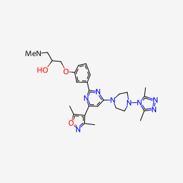 CNCC(O)COc1cccc(-c2nc(-c3c(C)noc3C)cc(N3CCN(n4c(C)nnc4C)CC3)n2)c1